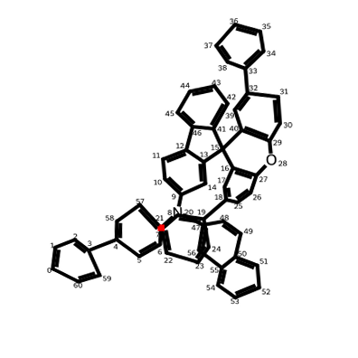 c1ccc(-c2ccc(N(c3ccc4c(c3)C3(c5cc(-c6ccccc6)ccc5Oc5ccc(-c6ccccc6)cc53)c3ccccc3-4)c3ccc4ccccc4c3)cc2)cc1